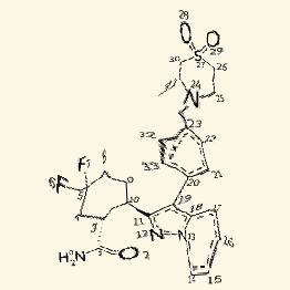 NC(=O)[C@@H]1CC(F)(F)CC[C@H]1c1nn2ccccc2c1-c1ccc(N2CCS(=O)(=O)CC2)cc1